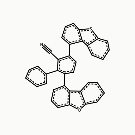 N#Cc1c(-c2cccc3sc4ccccc4c23)ccc(-c2cccc3oc4ccccc4c23)c1-c1ccccc1